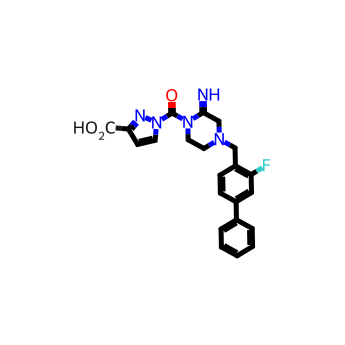 N=C1CN(Cc2ccc(-c3ccccc3)cc2F)CCN1C(=O)n1ccc(C(=O)O)n1